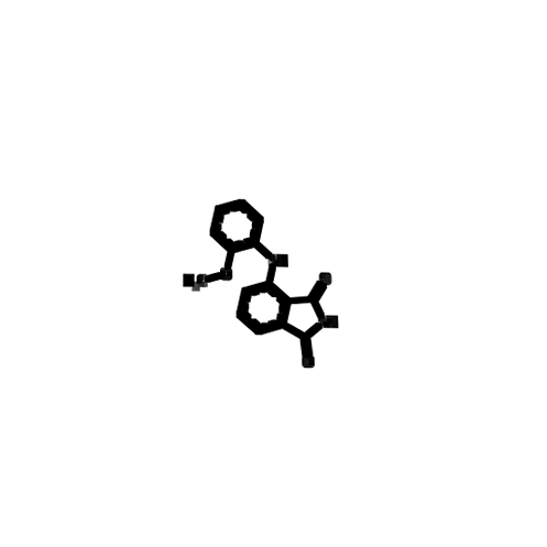 COc1ccccc1Nc1cccc2c1C(=O)NC2=O